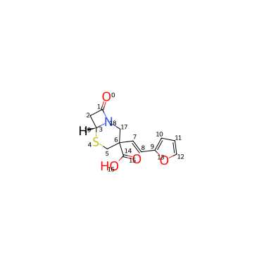 O=C1C[C@H]2SCC(C=Cc3ccco3)(C(=O)O)CN12